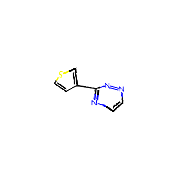 c1cnc(-c2ccsc2)nn1